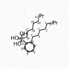 CC(C)CCCCCc1ccccc1P(O)(O)(O)CCCCCC(C)C